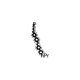 CCCC1CCC(C2CCC(CCC3CCC(c4ccc(CCCCCF)cc4)CC3)CC2)CC1